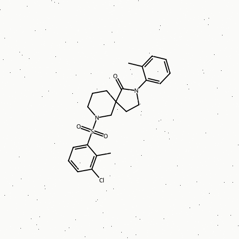 Cc1ccccc1N1CCC2(CCCN(S(=O)(=O)c3cccc(Cl)c3C)C2)C1=O